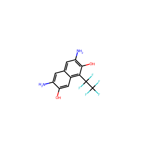 Nc1cc2cc(N)c(O)c(C(F)(F)C(F)(F)F)c2cc1O